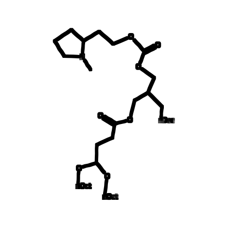 C[CH]CCCCCCCCCC(COC(=O)CCC(OCCCCCCCC)OCCCCCCCC)COC(=O)OCCC1CCCN1C